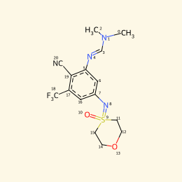 CN(C)C=Nc1cc(N=S2(=O)CCOCC2)cc(C(F)(F)F)c1C#N